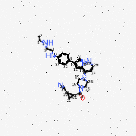 CCNCCNc1ccc(-c2cc3c(N4CCN(C(=O)[C@H]5C[C@H]5C#N)CC4)ccnn3c2)cc1